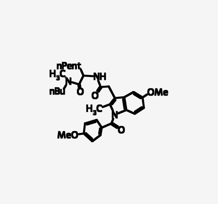 CCCCCC(NC(=O)Cc1c(C)n(C(=O)c2ccc(OC)cc2)c2ccc(OC)cc12)C(=O)N(C)CCCC